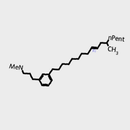 CCCCCC(C)C/C=C/CCCCCCCCc1cccc(CCCNC)c1